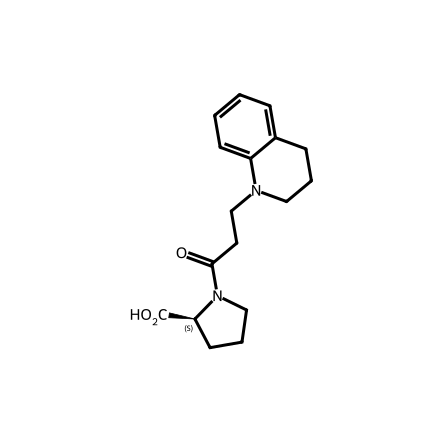 O=C(O)[C@@H]1CCCN1C(=O)CCN1CCCc2ccccc21